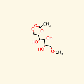 COC[C@@H](O)[C@@H](O)[C@H](O)[C@H](C=O)OC(C)=O